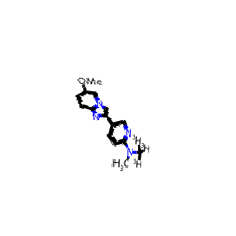 [3H]C([3H])([3H])N(C)c1ccc(-c2cn3cc(OC)ccc3n2)cn1